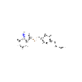 CSCCc1ccc(CSc2c[nH]c3ccccc23)cc1